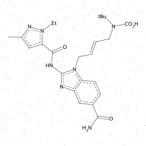 CCn1nc(C)cc1C(=O)Nc1nc2cc(C(N)=O)ccc2n1CC=CCN(C(=O)O)C(C)(C)C